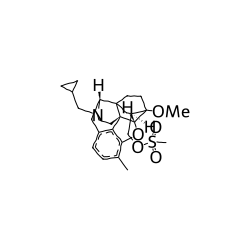 COC12CCC3(C[C@@H]1COS(C)(=O)=O)[C@H]1Cc4ccc(C)c5c4[C@@]3(CCN1CC1CC1)[C@H]2O5